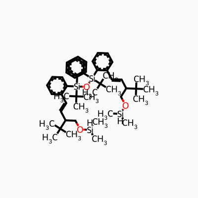 C[SiH](C)OCC(C=Cc1ccccc1[Si](O[Si](c1ccccc1)(c1ccccc1C=CC(CO[SiH](C)C)C(C)(C)C)C(C)(C)C)(c1ccccc1)C(C)(C)C)C(C)(C)C